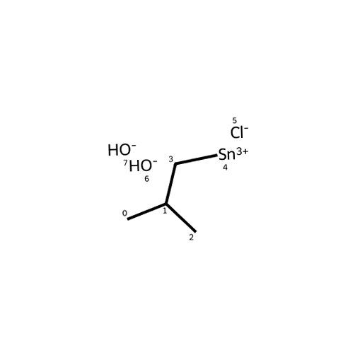 CC(C)[CH2][Sn+3].[Cl-].[OH-].[OH-]